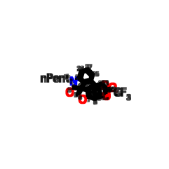 CCCCCN1C(=O)C2(COc3cc4c(cc32)OCO4)c2c(-c3cccc(OC(F)(F)F)c3)cccc21